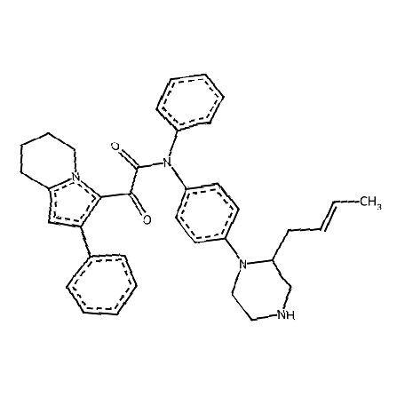 CC=CCC1CNCCN1c1ccc(N(C(=O)C(=O)c2c(-c3ccccc3)cc3n2CCCC3)c2ccccc2)cc1